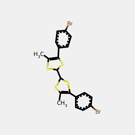 CC1=C(c2ccc(Br)cc2)SC(C2SC(C)=C(c3ccc(Br)cc3)S2)S1